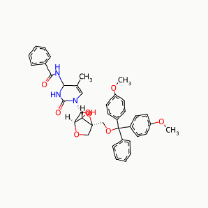 COc1ccc(C(OC[C@@]23CO[C@@H]([C@H](N4C=C(C)C(NC(=O)c5ccccc5)NC4=O)O2)[C@@H]3O)(c2ccccc2)c2ccc(OC)cc2)cc1